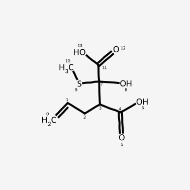 C=CCC(C(=O)O)C(O)(SC)C(=O)O